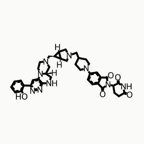 O=C1CCC(N2C(=O)c3ccc(N4CCC(CN5C[C@@H]6[C@H](C5)[C@@H]6CN5CCN6c7cc(-c8ccccc8O)nnc7NC[C@H]6C5)CC4)cc3C2=O)C(=O)N1